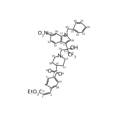 CCOC(=O)/C=C\c1ccc(S(=O)(=O)C2CCN(CC(O)(c3cn(Cc4ccccc4)c4cc([N+](=O)[O-])ccc34)C(F)(F)F)CC2)cc1